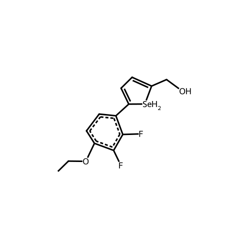 CCOc1ccc(C2=CC=C(CO)[SeH2]2)c(F)c1F